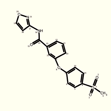 CS(=O)(=O)c1ccc(Oc2cccc(C(=O)Nc3ccon3)c2)cc1